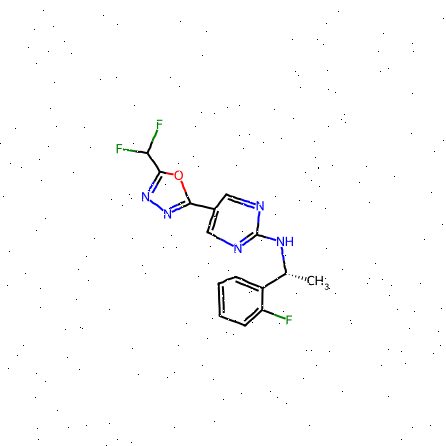 C[C@@H](Nc1ncc(-c2nnc(C(F)F)o2)cn1)c1ccccc1F